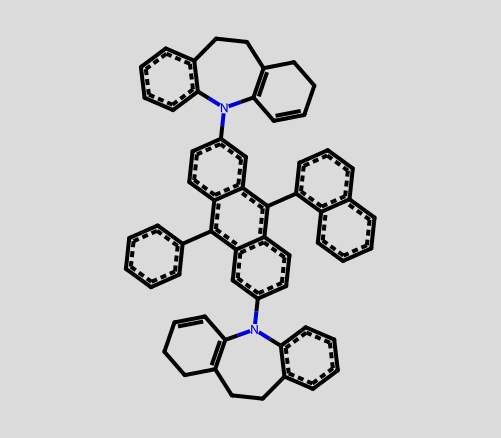 C1=CC2=C(CC1)CCc1ccccc1N2c1ccc2c(-c3cccc4ccccc34)c3cc(N4C5=C(CCC=C5)CCc5ccccc54)ccc3c(-c3ccccc3)c2c1